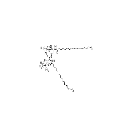 CCCCCCCCCCCCCCCC(=O)NC(CSSCC(NC(=O)CCCCCCCCCCCCCCC)C(=O)OC(C)(C)C)C(=O)OC(C)(C)C